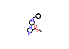 CCOC(=O)C1CN(C)CCN1C1CCN(Cc2ccccc2)CC1